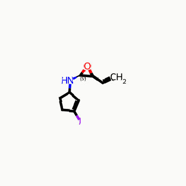 C=CC1O[C@@H]1NC1C=C(I)CC1